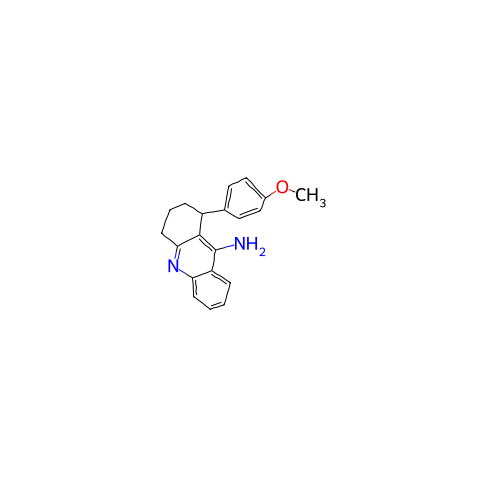 COc1ccc(C2CCCc3nc4ccccc4c(N)c32)cc1